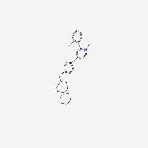 Cc1ccccc1-c1cc(-c2ccc(CC3CCC4(CCCCC4)CC3)cc2)cc[n+]1C